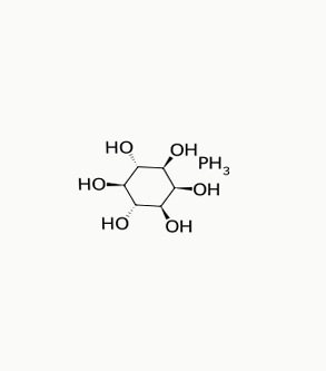 O[C@H]1[C@H](O)[C@@H](O)[C@H](O)[C@@H](O)[C@H]1O.P